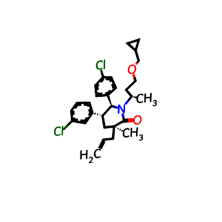 C=CC[C@@]1(C)C[C@H](c2cccc(Cl)c2)[C@@H](c2ccc(Cl)cc2)N([C@@H](C)CCOCC2CC2)C1=O